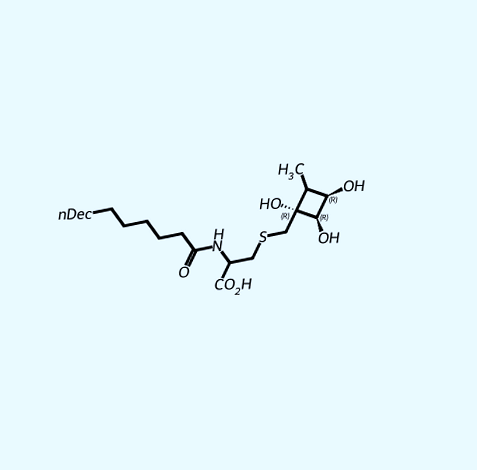 CCCCCCCCCCCCCCCC(=O)NC(CSC[C@@]1(O)C(C)[C@@H](O)[C@H]1O)C(=O)O